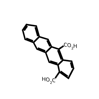 O=C(O)c1cccc2c(C(=O)O)c3cc4ccccc4cc3cc12